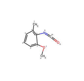 COc1cccc(C)c1N=C=O